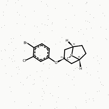 CN1[C@@H]2CC[C@H]1C[C@H](Oc1ccc(Br)c(Cl)c1)C2